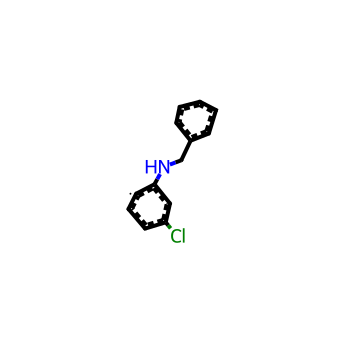 Clc1cc[c]c(NCc2ccccc2)c1